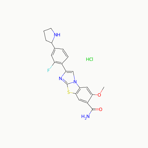 COc1cc2c(cc1C(N)=O)sc1nc(-c3ccc(C4CCCN4)cc3F)cn12.Cl